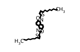 CCCCCCCc1ccc(-c2nc3c(ccc4c3ccc3oc(-c5ccc(CCCCCCC)s5)nc34)o2)s1